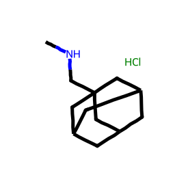 CNCC12CC3CC(CC(C3)C1)C2.Cl